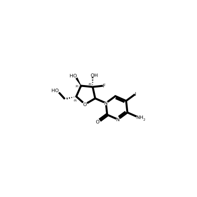 Nc1nc(=O)n(C2O[C@H](CO)[C@@H](O)[C@@]2(O)F)cc1I